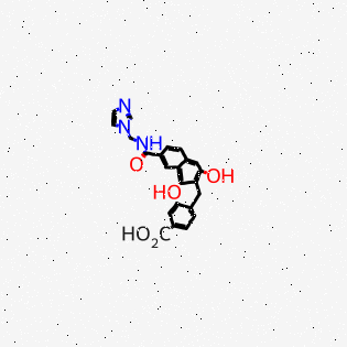 O=C(O)c1ccc(Cc2c(O)cc3ccc(C(=O)NCn4ccnc4)cc3c2O)cc1